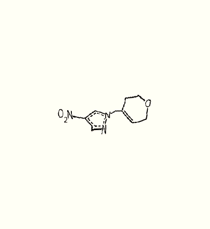 O=[N+]([O-])c1cnn(C2=CCOCC2)c1